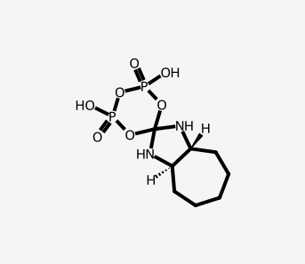 O=P1(O)OC2(N[C@@H]3CCCCC[C@H]3N2)OP(=O)(O)O1